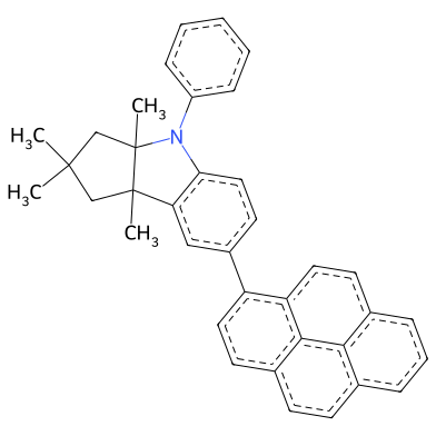 CC1(C)CC2(C)c3cc(-c4ccc5ccc6cccc7ccc4c5c67)ccc3N(c3ccccc3)C2(C)C1